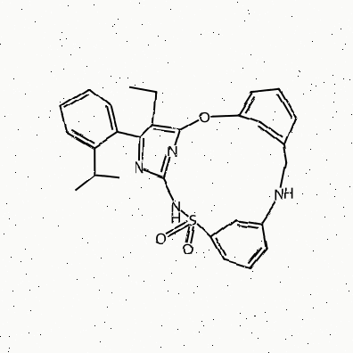 CCc1c2nc(nc1-c1ccccc1C(C)C)NS(=O)(=O)c1cccc(c1)NCc1cccc(c1)O2